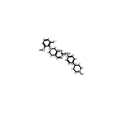 COc1cccc(F)c1N1CCc2cnc(Nc3ccc(C4CCN(C)CC4)cc3)nc2C1